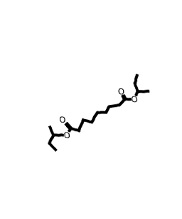 CCC(C)OC(=O)CCCCCCCC(=O)OC(C)CC